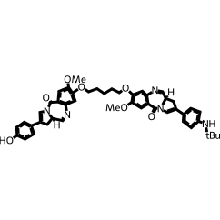 COc1cc2c(cc1OCCCCCOc1cc3c(cc1OC)C(=O)N1C=C(c4ccc(NC(C)(C)C)cc4)C[C@H]1C=N3)N=C[C@@H]1CC(c3ccc(O)cc3)=CN1C2=O